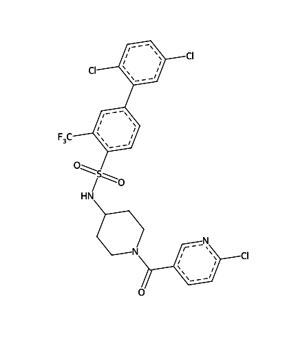 O=C(c1ccc(Cl)nc1)N1CCC(NS(=O)(=O)c2ccc(-c3cc(Cl)ccc3Cl)cc2C(F)(F)F)CC1